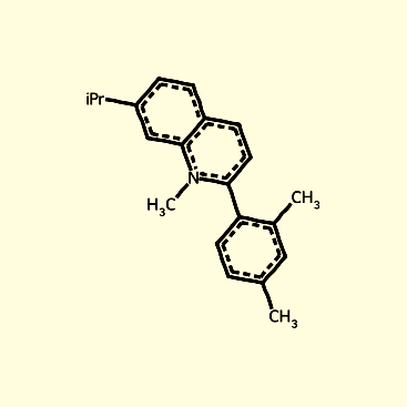 Cc1ccc(-c2ccc3ccc(C(C)C)cc3[n+]2C)c(C)c1